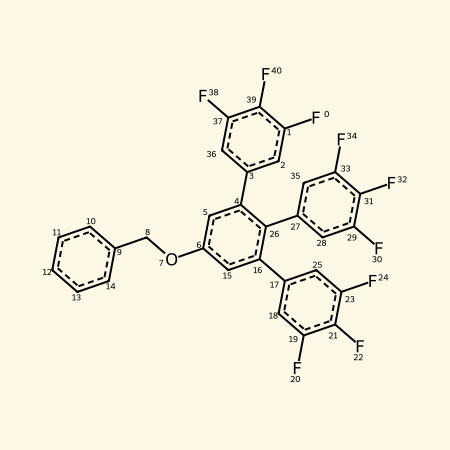 Fc1cc(-c2cc(OCc3ccccc3)cc(-c3cc(F)c(F)c(F)c3)c2-c2cc(F)c(F)c(F)c2)cc(F)c1F